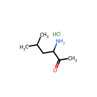 CC(=O)C(N)CC(C)C.Cl